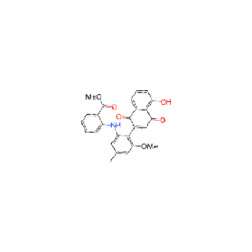 COC(=O)c1ccccc1Nc1cc(C)cc(OC)c1C1=CC(=O)c2c(O)cccc2C1=O